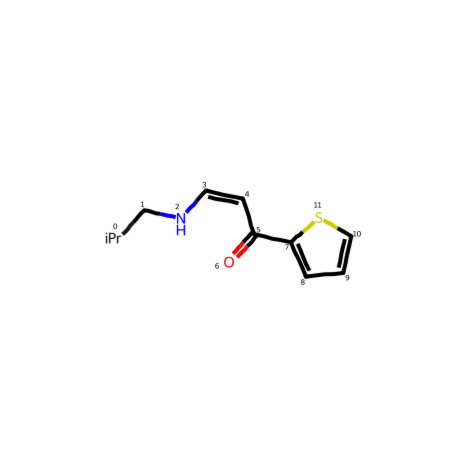 CC(C)CN/C=C\C(=O)c1cccs1